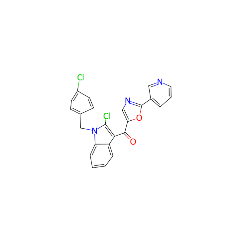 O=C(c1cnc(-c2cccnc2)o1)c1c(Cl)n(Cc2ccc(Cl)cc2)c2ccccc12